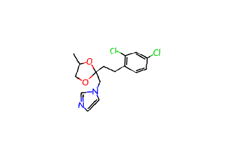 CC1COC(CCc2ccc(Cl)cc2Cl)(Cn2ccnc2)O1